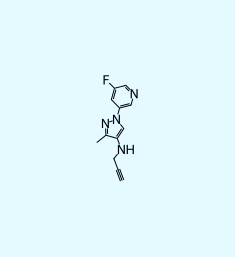 C#CCNc1cn(-c2cncc(F)c2)nc1C